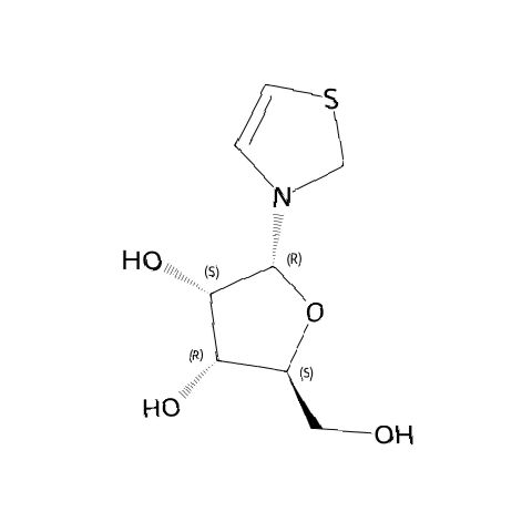 OC[C@@H]1O[C@@H](N2C=CSC2)[C@@H](O)[C@H]1O